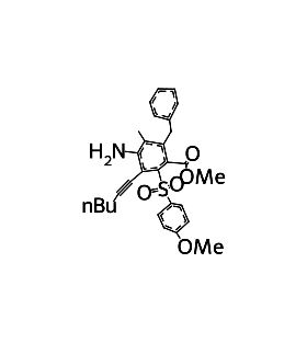 CCCCC#Cc1c(N)c(C)c(Cc2ccccc2)c(C(=O)OC)c1S(=O)(=O)c1ccc(OC)cc1